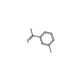 [CH2]C(=S)c1cccc(C)c1